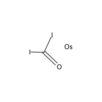 O=C(I)I.[Os]